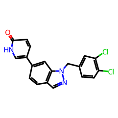 O=c1ccc(-c2ccc3cnn(Cc4ccc(Cl)c(Cl)c4)c3c2)c[nH]1